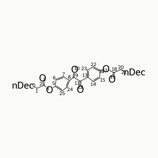 CCCCCCCCCCCC(=O)Oc1ccc(C(=O)C(=O)c2ccc(OC(=O)CCCCCCCCCCC)cc2)cc1